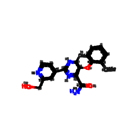 COc1ccccc1Oc1c(OC)nc(-c2ccnc(CO)c2)nc1C(N)=O